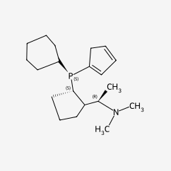 C[C@H](C1CCC[C@@H]1[P@](C1=CC=CC1)C1CCCCC1)N(C)C